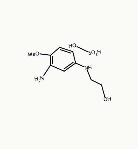 COc1ccc(NCCO)cc1N.O=S(=O)(O)O